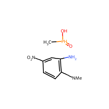 CNc1ccc([N+](=O)[O-])cc1N.C[PH](=O)O